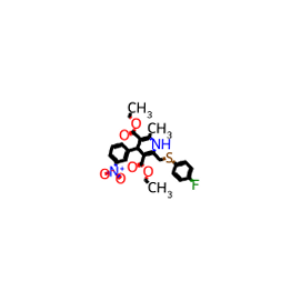 CCOC(=O)C1=C(C)NC(CSc2ccc(F)cc2)=C(C(=O)OCC)C1c1cccc([N+](=O)[O-])c1